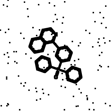 O=P(c1ccccc1)(c1ccccc1)c1cccc(-c2nccc3ccccc23)c1